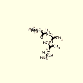 CC(=O)O.CC(=O)O.CC(=O)O.O.O.[NaH].[NaH].[NaH]